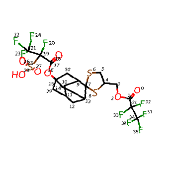 O=C(OCC1CSC2(S1)C1CC3CC2CC(OC(=O)C(F)(C(F)(F)F)S(=O)(=O)O)(C3)C1)C(F)(F)C(F)(F)F